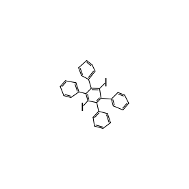 Ic1c(-c2ccccc2)c(-c2ccccc2)c(I)c(-c2ccccc2)c1-c1ccccc1